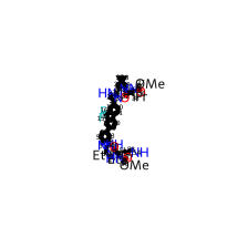 CC[C@@H](c1nc2ccc(-c3ccc4c(c3)C(F)(F)c3cc(C5CNC([C@@H]6CC7(CC7)CN6C(=O)[C@@H](NC(=O)OC)C(C)C)=N5)ccc3-4)cc2[nH]1)N(CC)C(=O)[C@H](CCC=N)NC(=O)OC